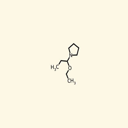 CCOC(CC)N1CCCC1